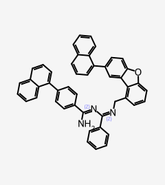 N/C(=N\C(=N/Cc1cccc2oc3ccc(-c4cccc5ccccc45)cc3c12)c1ccccc1)c1ccc(-c2cccc3ccccc23)cc1